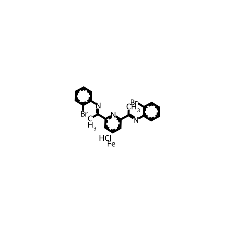 C/C(=N\c1ccccc1Br)c1cccc(/C(C)=N/c2ccccc2Br)n1.Cl.[Fe]